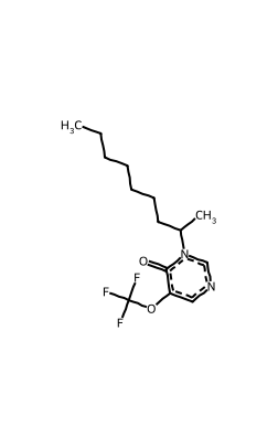 CCCCCCCC(C)n1cncc(OC(F)(F)F)c1=O